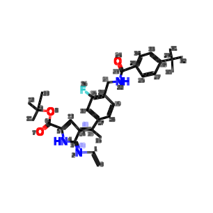 C=C/N=C1/NC(C(=O)OC(C)(C)C)=C/C1=C(/C)c1ccc(CNC(=O)c2ccc(C(C)(C)C)cc2)c(F)c1